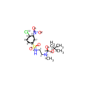 CN(CCNS(=O)(=O)c1ccc(Cl)c([N+](=O)[O-])c1)C(=O)OC(C)(C)C